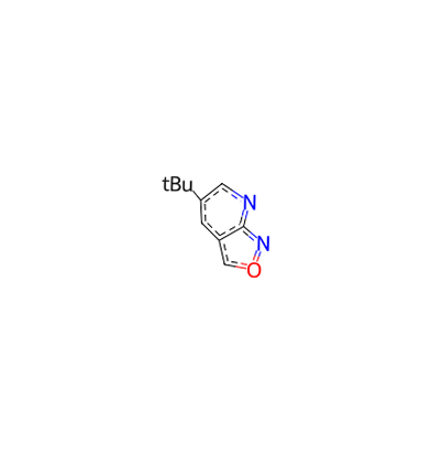 CC(C)(C)c1cnc2nocc2c1